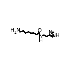 NCCCCCCCC(=O)NCCc1c[nH]cn1